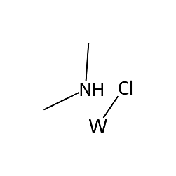 CNC.[Cl][W]